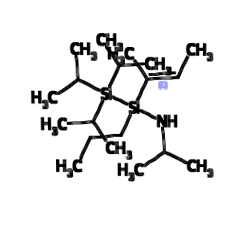 C/C=C(\C)[Si](CCC)(NC(C)C)[Si](C(C)C)(C(C)C)C(C)C